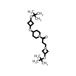 CC(C)(C)OC1CC(OC2CCN(C(=O)CCN3CC(OC(C)(C)C)C3)CC2)C1